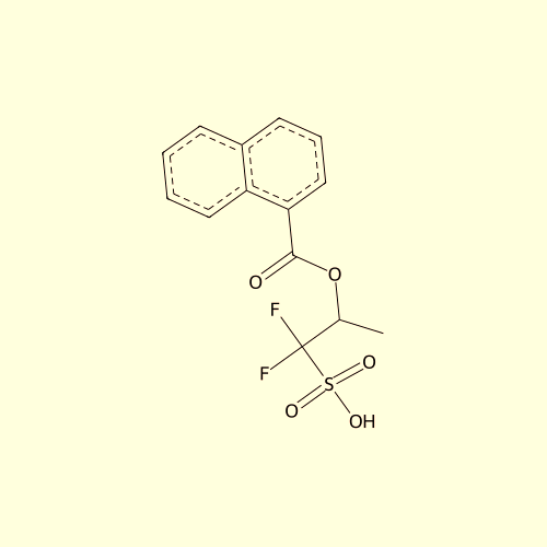 CC(OC(=O)c1cccc2ccccc12)C(F)(F)S(=O)(=O)O